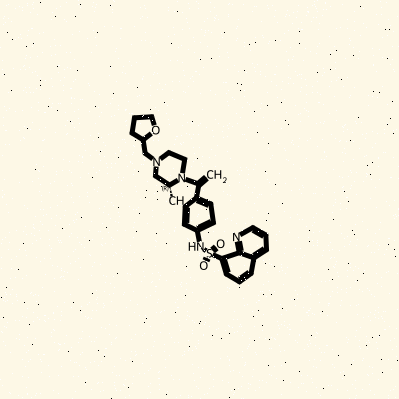 C=C(c1ccc(NS(=O)(=O)c2cccc3cccnc23)cc1)N1CCN(CC2CCCO2)C[C@H]1C